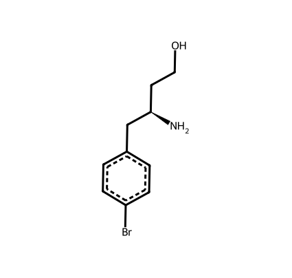 N[C@H](CCO)Cc1ccc(Br)cc1